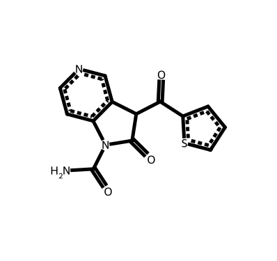 NC(=O)N1C(=O)C(C(=O)c2cccs2)c2cnccc21